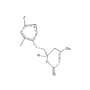 Cc1cc(F)ccc1CCC1(C(C)C)CC(O)=CC(=O)O1